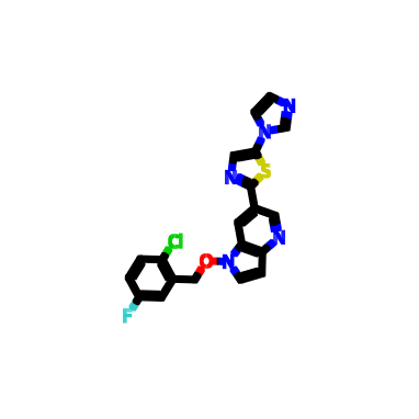 Fc1ccc(Cl)c(COn2ccc3ncc(-c4ncc(-n5ccnc5)s4)cc32)c1